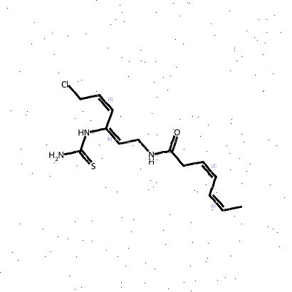 C/C=C\C=C/CC(=O)NC/C=C(\C=C/CCl)NC(N)=S